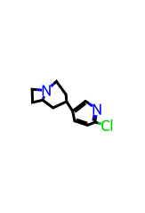 Clc1ccc(C2CCN3CCC3C2)cn1